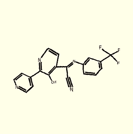 N#C/C(=N\c1cccc(C(F)(F)F)c1)c1ccnc(-c2ccncc2)c1O